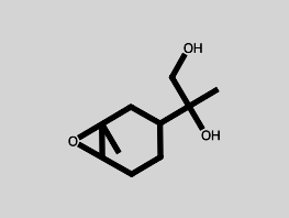 CC(O)(CO)C1CCC2OC2(C)C1